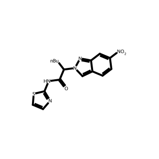 CCCCC(C(=O)Nc1nccs1)n1cc2ccc([N+](=O)[O-])cc2n1